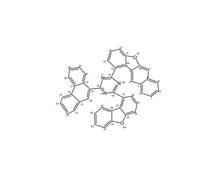 c1ccc2cc3c(cc2c1)oc1cccc(-c2nc(-c4cc5ccccc5c5ccccc45)nc(-c4cccc5oc6ccccc6c45)n2)c13